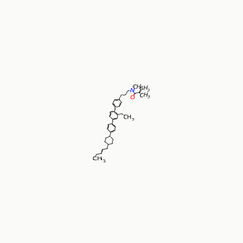 C=C(C)C(=O)N(C)CCCc1ccc(-c2ccc(-c3ccc(C4CCC(CCCCC)CC4)cc3)cc2CC)cc1